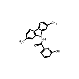 Cc1ccc2c3ccc(C)cc3n(NC(=O)c3cccc(O)n3)c2c1